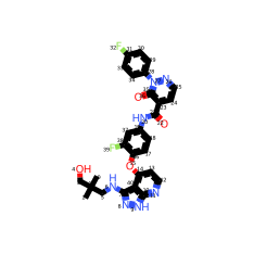 CC(C)(CO)CNc1n[nH]c2nccc(Oc3ccc(NC(=O)c4ccnn(-c5ccc(F)cc5)c4=O)cc3F)c12